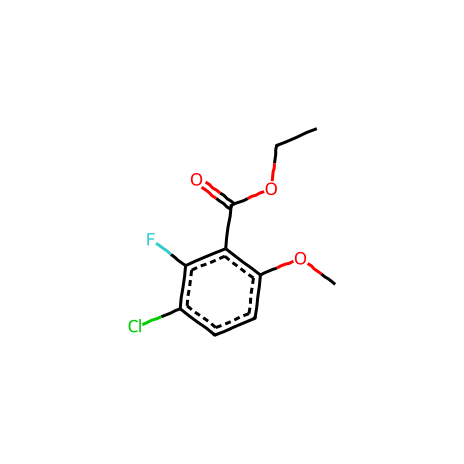 CCOC(=O)c1c(OC)ccc(Cl)c1F